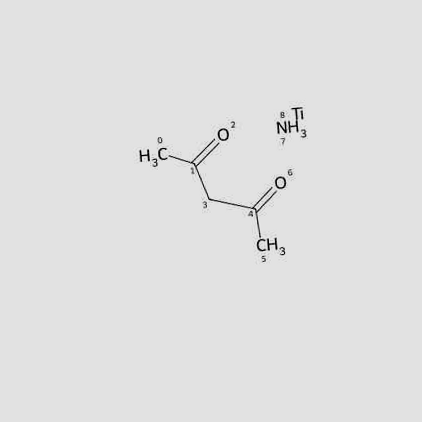 CC(=O)CC(C)=O.N.[Ti]